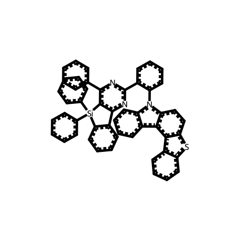 c1ccc(-c2nc(-c3ccccc3-n3c4ccccc4c4c5c(ccc43)sc3ccccc35)nc3c2[Si](c2ccccc2)(c2ccccc2)c2ccccc2-3)cc1